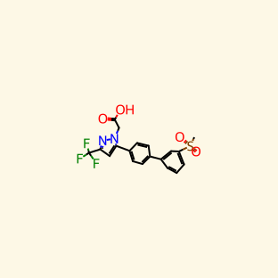 CS(=O)(=O)c1cccc(-c2ccc(-c3cc(C(F)(F)F)nn3CC(=O)O)cc2)c1